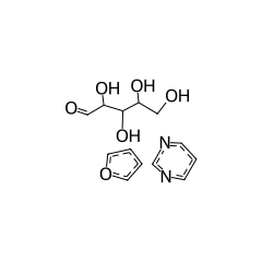 O=CC(O)C(O)C(O)CO.c1ccoc1.c1cncnc1